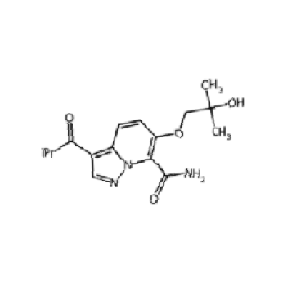 CC(C)C(=O)c1cnn2c(C(N)=O)c(OCC(C)(C)O)ccc12